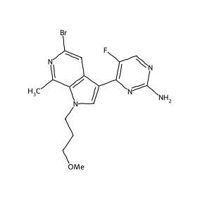 COCCCn1cc(-c2nc(N)ncc2F)c2cc(Br)nc(C)c21